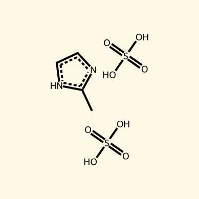 Cc1ncc[nH]1.O=S(=O)(O)O.O=S(=O)(O)O